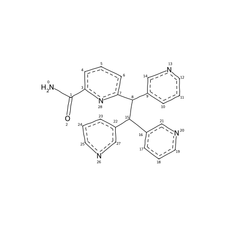 NC(=O)c1cccc(C(c2cccnc2)C(c2cccnc2)c2cccnc2)n1